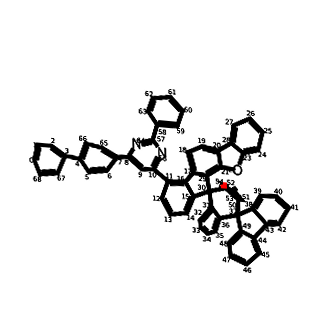 c1ccc(-c2ccc(-c3cc(-c4cccc5c4-c4ccc6c(oc7ccccc76)c4C54c5ccccc5C5(c6ccccc6-c6ccccc65)c5ccccc54)nc(-c4ccccc4)n3)cc2)cc1